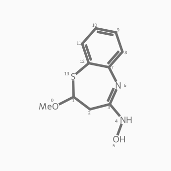 COC1CC(NO)=Nc2ccccc2S1